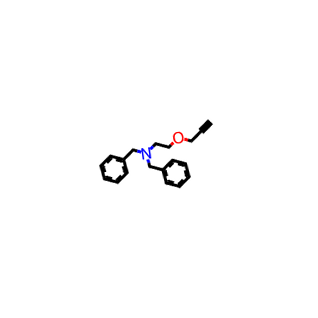 C#CCOCCN(Cc1ccccc1)Cc1ccccc1